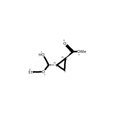 CCOC(O)[C@H]1C[C@@H]1C(=O)OC